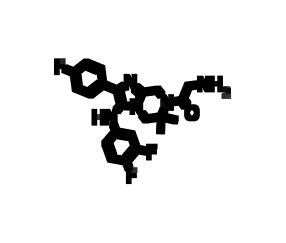 CC1(C)Cn2c(nc(-c3ccc(F)cc3)c2Nc2ccc(F)c(F)c2)CN1C(=O)CN